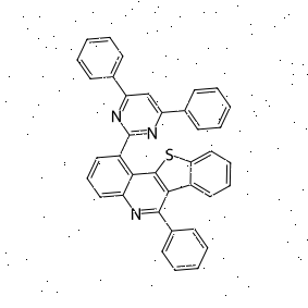 c1ccc(-c2cc(-c3ccccc3)nc(-c3cccc4nc(-c5ccccc5)c5c6ccccc6sc5c34)n2)cc1